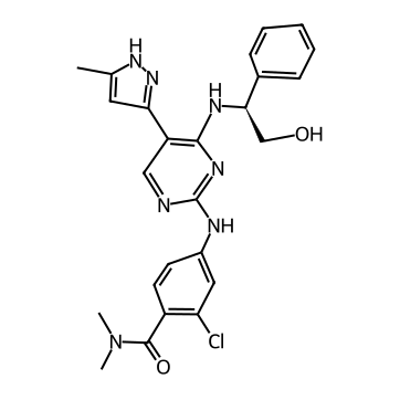 Cc1cc(-c2cnc(Nc3ccc(C(=O)N(C)C)c(Cl)c3)nc2N[C@H](CO)c2ccccc2)n[nH]1